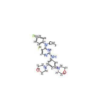 CN(c1ccnc(Nc2cc(N3CCOCC3)cc(N3CCOCC3)c2)n1)c1ccc(F)cc1F